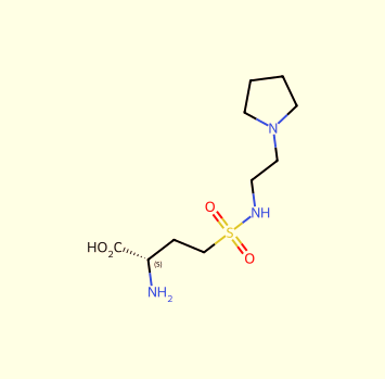 N[C@@H](CCS(=O)(=O)NCCN1CCCC1)C(=O)O